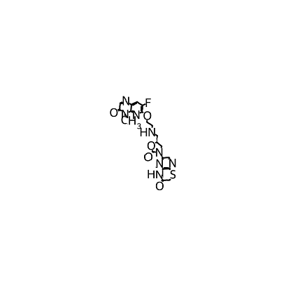 Cn1c(=O)cnc2cc(F)c(OCCNC[C@H]3CN(c4cnc5c(n4)NC(=O)CS5)C(=O)O3)nc21